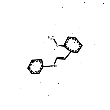 COc1ccccc1C=CNc1ccccc1